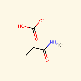 CCC(N)=O.O=C([O-])O.[K+]